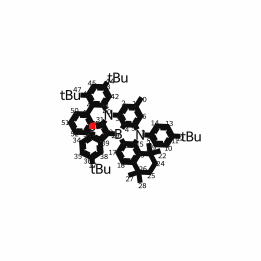 Cc1cc2c3c(c1)N(c1ccc(C(C)(C)C)cc1)c1c(ccc4c1C(C)(C)CCC4(C)C)B3c1c(sc3ccc(C(C)(C)C)cc13)N2c1cc(C(C)(C)C)cc(C(C)(C)C)c1-c1ccccc1